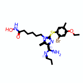 C=c1/c(=C(N)\N=C/CC)nc(Sc2cc(C)c(OCC)cc2Br)n1CCCCCC(=O)NO